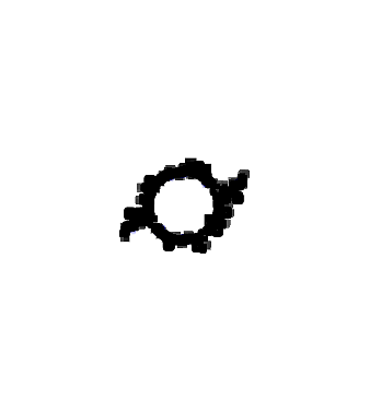 C=C1O[C@H](C(C)(C)C(=O)/C=C/C)C/C=C\C2OC2/C=C/[C@H](OC)Cc2nc(co2)C(=O)O[C@H](C(C)(C)C(=O)/C=C/C)C/C=C\[C@H]2O[C@H]2/C=C/C=C\c2nc1co2